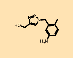 Cc1ccc(N)cc1Cn1cc(CO)nn1